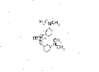 CN(C)c1cccc([O][Zr+2][O]c2cccc(N(C)C)c2)c1.[Cl-].[Cl-]